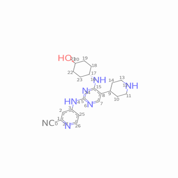 N#Cc1cc(Nc2ncc(C3CCNCC3)c(N[C@H]3CC[C@H](O)CC3)n2)ccn1